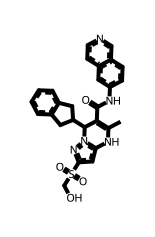 CC1=C(C(=O)Nc2ccc3cnccc3c2)C(C2Cc3ccccc3C2)n2nc(S(=O)(=O)CO)cc2N1